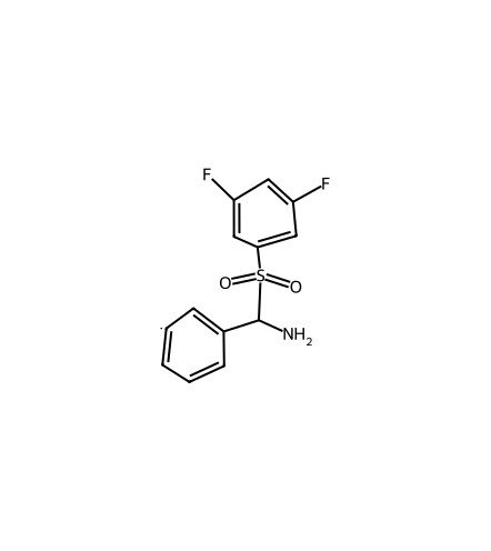 NC(c1c[c]ccc1)S(=O)(=O)c1cc(F)cc(F)c1